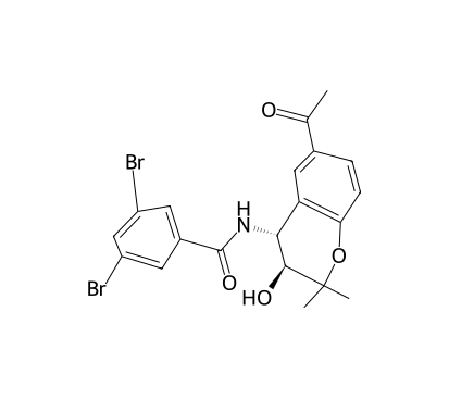 CC(=O)c1ccc2c(c1)[C@@H](NC(=O)c1cc(Br)cc(Br)c1)[C@H](O)C(C)(C)O2